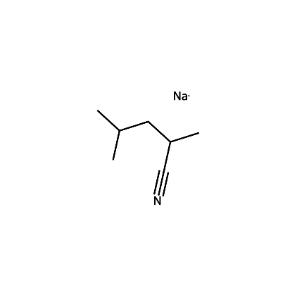 CC(C)CC(C)C#N.[Na]